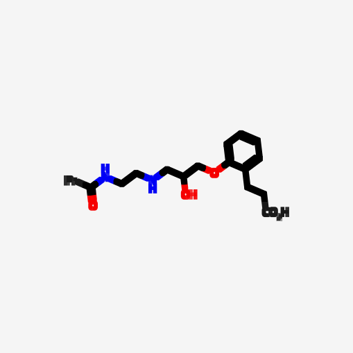 CC(C)C(=O)NCCNCC(O)COc1ccccc1CCC(=O)O